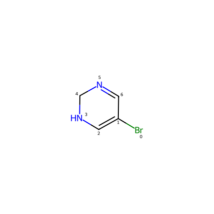 BrC1=CNCN=C1